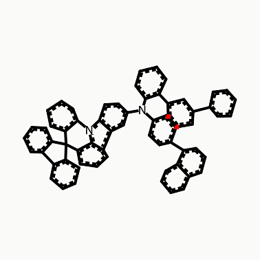 c1ccc(-c2cccc(-c3ccccc3N(c3ccc(-c4cccc5ccccc45)cc3)c3ccc4c(c3)c3cccc5c3n4-c3ccccc3C53c4ccccc4-c4ccccc43)c2)cc1